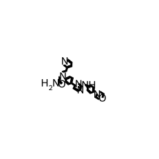 NC(=O)CN(CCc1cccnc1)c1ccc(-c2ccnc(Nc3ccc(N4CCOCC4)cc3)n2)cc1